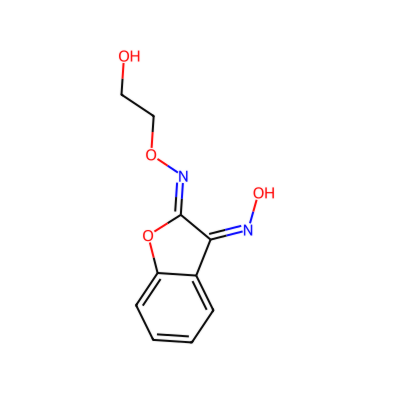 OCCON=C1Oc2ccccc2C1=NO